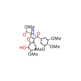 COC(=O)C(N)c1oc2c(O)c(OC)ccc2c1C(=O)c1cc(OC)c(OC)c(OC)c1